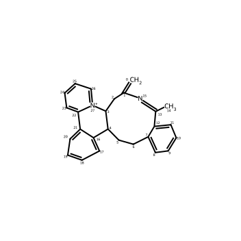 C=C1CC2C(CCc3ccccc3/C(C)=N\1)c1ccccc1-c1cccc[n+]12